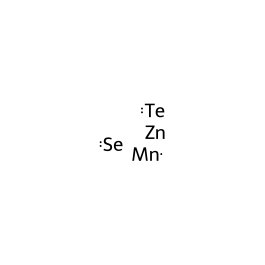 [Mn].[Se].[Te].[Zn]